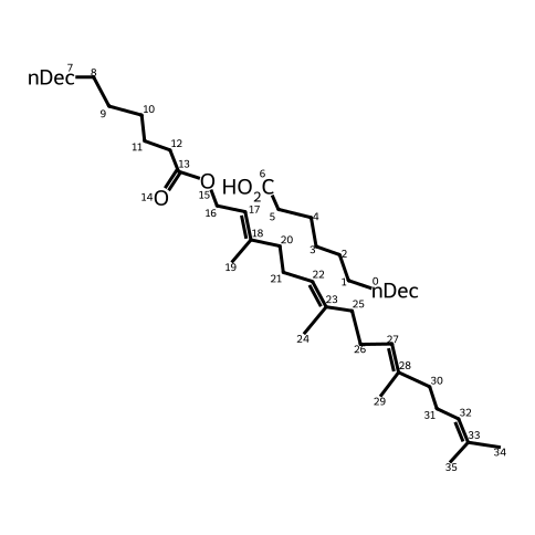 CCCCCCCCCCCCCCCC(=O)O.CCCCCCCCCCCCCCCC(=O)OC/C=C(\C)CC/C=C(\C)CC/C=C(\C)CCC=C(C)C